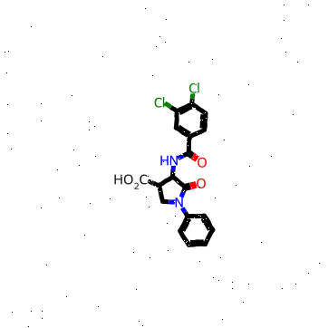 O=C(NC1C(=O)N(c2ccccc2)CC1C(=O)O)c1ccc(Cl)c(Cl)c1